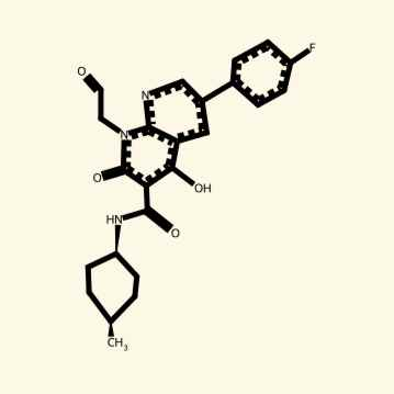 C[C@H]1CC[C@@H](NC(=O)c2c(O)c3cc(-c4ccc(F)cc4)cnc3n(CC=O)c2=O)CC1